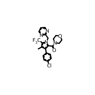 Cc1c(-c2ccc(Cl)cc2)c(C(=O)N2CCOCC2)n(Cc2ncccn2)c1C(F)(F)F